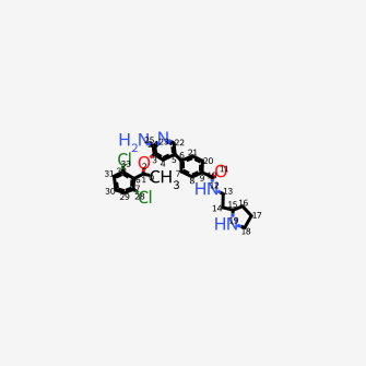 CC(Oc1cc(-c2ccc(C(=O)NCCC3CCCN3)cc2)cnc1N)c1c(Cl)cccc1Cl